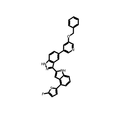 Fc1ccc(-c2cccc3[nH]c(-c4n[nH]c5ccc(-c6cncc(OCc7ccccc7)c6)cc45)cc23)s1